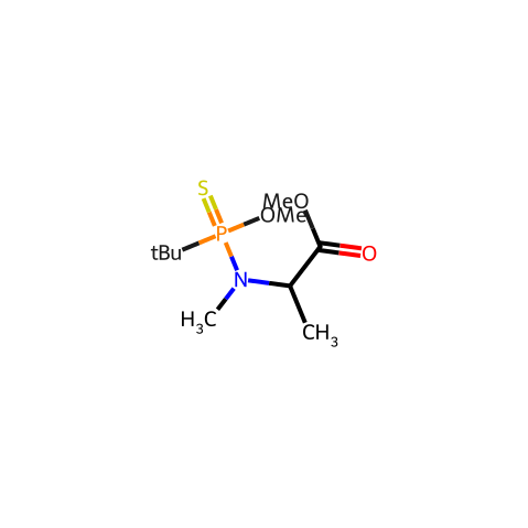 COC(=O)C(C)N(C)P(=S)(OC)C(C)(C)C